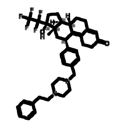 C[C@]12C[C@H](c3ccc(CN4CCN(CCc5ccccc5)CC4)cc3)C3=C4CCC(=O)C=C4CC[C@H]3[C@@H]1CC[C@@]2(O)C(F)(F)C(F)(F)F